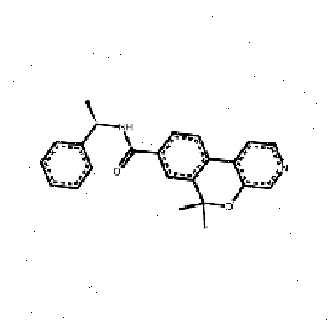 C[C@@H](NC(=O)c1ccc2c(c1)C(C)(C)Oc1cnccc1-2)c1ccccc1